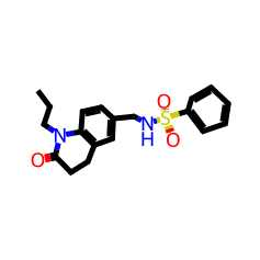 CCCN1C(=O)CCc2cc(CNS(=O)(=O)c3ccccc3)ccc21